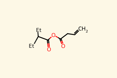 C=CCC(=O)OC(=O)C(CC)CC